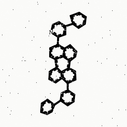 c1ccc(-c2cccc(-c3ccc4c5cccc6c(-c7cc(-c8ccccc8)ccn7)ccc(c7cccc3c47)c65)c2)cc1